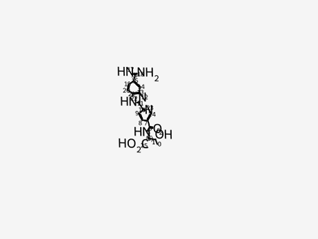 CC(O)[C@H](NC(=O)c1ccc(-c2nc3cc(C(=N)N)ccc3[nH]2)nc1)C(=O)O